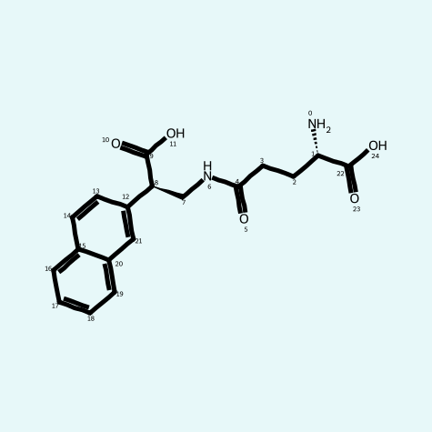 N[C@@H](CCC(=O)NC[C@H](C(=O)O)c1ccc2ccccc2c1)C(=O)O